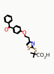 CC(C)(Sc1nc(CCOc2ccc(C(=O)c3ccccc3)cc2)cs1)C(=O)O